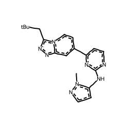 Cn1nccc1Nc1nccc(-c2ccn3c(CC(C)(C)C)nnc3c2)n1